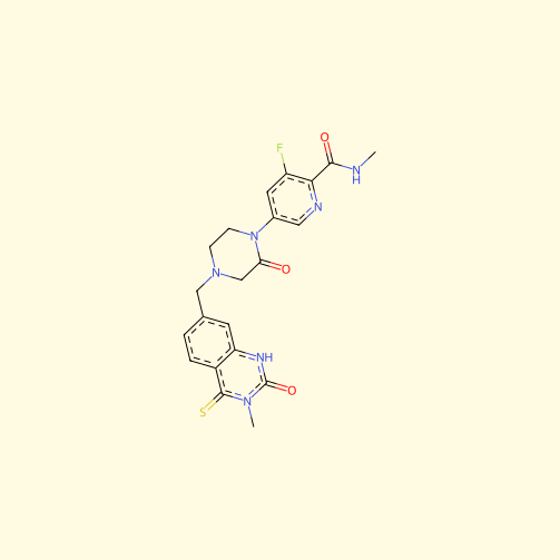 CNC(=O)c1ncc(N2CCN(Cc3ccc4c(=S)n(C)c(=O)[nH]c4c3)CC2=O)cc1F